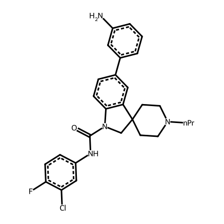 CCCN1CCC2(CC1)CN(C(=O)Nc1ccc(F)c(Cl)c1)c1ccc(-c3cccc(N)c3)cc12